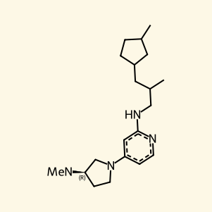 CN[C@@H]1CCN(c2ccnc(NCC(C)CC3CCC(C)C3)c2)C1